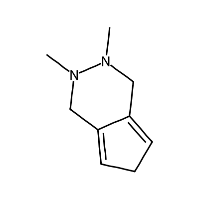 CN1CC2=CCC=C2CN1C